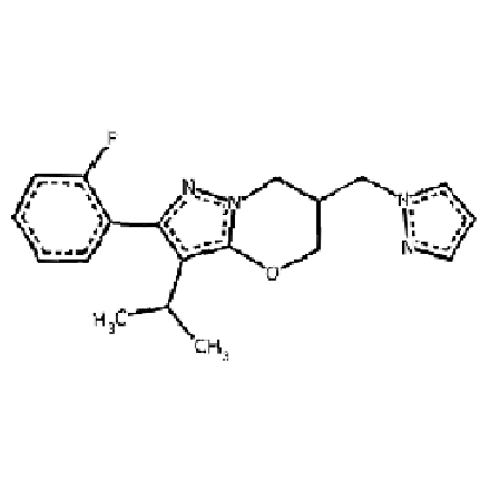 CC(C)c1c(-c2ccccc2F)nn2c1OCC(Cn1cccn1)C2